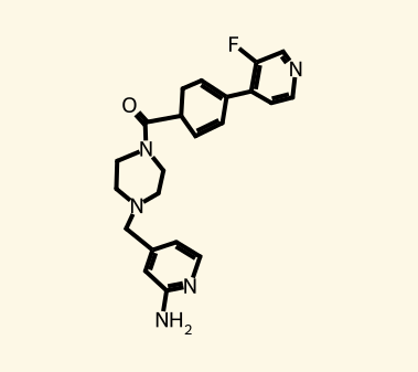 Nc1cc(CN2CCN(C(=O)C3C=CC(c4ccncc4F)=CC3)CC2)ccn1